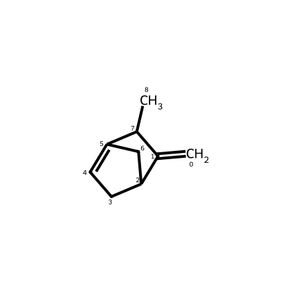 C=C1C2CC=C(C2)C1C